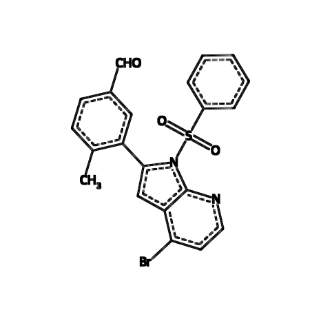 Cc1ccc(C=O)cc1-c1cc2c(Br)ccnc2n1S(=O)(=O)c1ccccc1